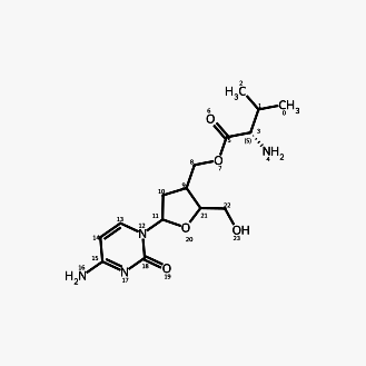 CC(C)[C@H](N)C(=O)OCC1CC(n2ccc(N)nc2=O)OC1CO